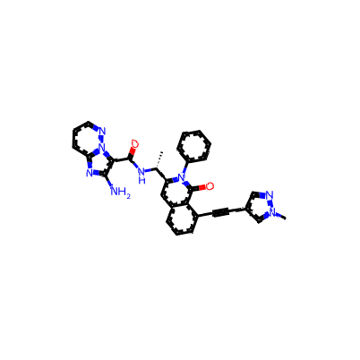 C[C@@H](NC(=O)c1c(N)nc2cccnn12)c1cc2cccc(C#Cc3cnn(C)c3)c2c(=O)n1-c1ccccc1